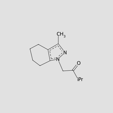 Cc1nn(CC(=O)C(C)C)c2c1CCCC2